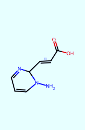 NN1C=CC=NC1/C=C/C(=O)O